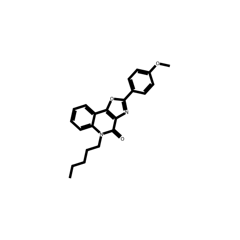 CCCCCn1c(=O)c2nc(-c3ccc(OC)cc3)oc2c2ccccc21